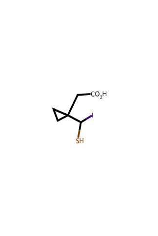 O=C(O)CC1(C(S)I)CC1